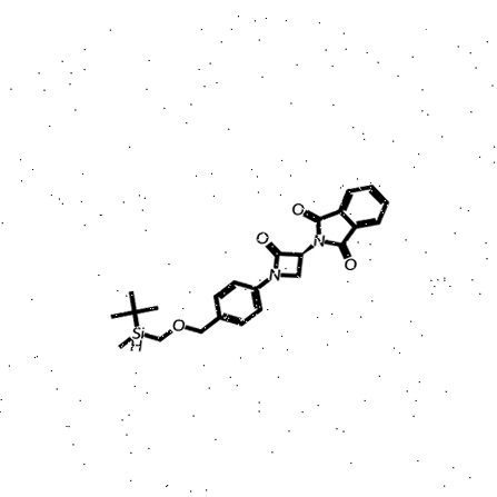 C[SiH](COCc1ccc(N2C[C@H](N3C(=O)c4ccccc4C3=O)C2=O)cc1)C(C)(C)C